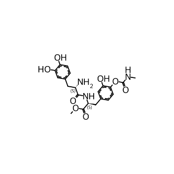 CNC(=O)Oc1ccc(C[C@H](NC(=O)[C@@H](N)Cc2ccc(O)c(O)c2)C(=O)OC)cc1O